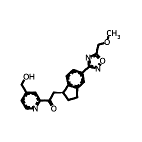 COCc1nc(-c2ccc3c(c2)CC[C@H]3CC(=O)c2cc(CO)ccn2)no1